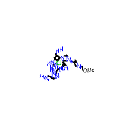 COCCN1CC(N2CCN(c3cc(C=N)cc(Nc4nc(NC5CC5)c5ncc(C=N)n5n4)c3Cl)CC2)C1